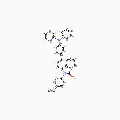 COc1ccc(N2C(=O)c3cccc4c(-c5ccc(N(c6ccccc6)c6ccccc6)cc5)ccc2c34)cc1